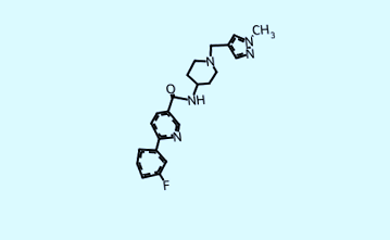 Cn1cc(CN2CCC(NC(=O)c3ccc(-c4cccc(F)c4)nc3)CC2)cn1